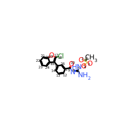 CS(=O)(=O)ONC(N)=NC(=O)c1cccc(-c2c(Cl)oc3ccccc23)c1